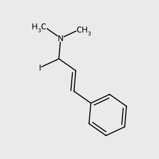 CN(C)C(I)C=Cc1ccccc1